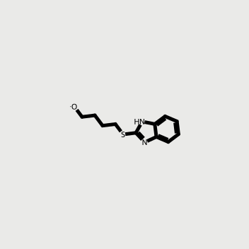 [O]CCCCSc1nc2ccccc2[nH]1